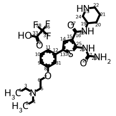 CCN(CC)CCOc1cccc(-c2cc(C(=O)NC3CCCNC3)c(NC(N)=O)s2)c1.O=C(O)C(F)(F)F